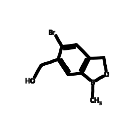 CB1OCc2cc(Br)c(CO)cc21